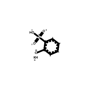 O=S(=O)(O)c1ccccc1Cl.[KH]